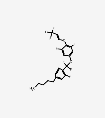 CCCCCc1ccc(C(F)(F)Oc2cc(F)c(O/C=C/C(F)(F)F)c(F)c2)c(F)c1